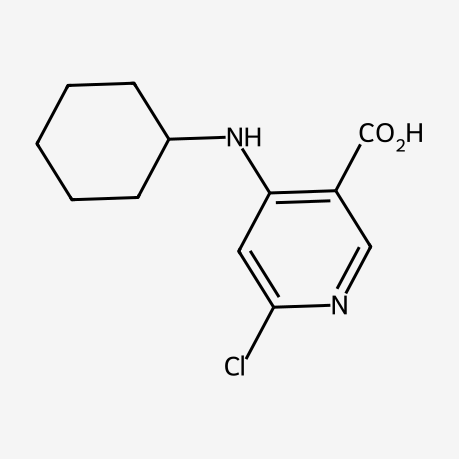 O=C(O)c1cnc(Cl)cc1NC1CCCCC1